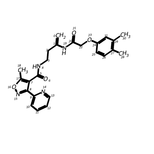 C=C(CCNC(=O)c1c(-c2ccccn2)noc1C)NC(=O)COc1ccc(C)c(C)c1